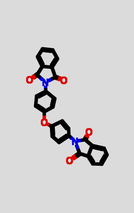 O=C1c2ccccc2C(=O)N1c1ccc(Oc2ccc(N3C(=O)c4ccccc4C3=O)cc2)cc1